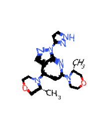 C[C@@H]1COCCN1c1cc(N2CCOC[C@H]2C)c2cnn(-c3cc[nH]n3)c2n1